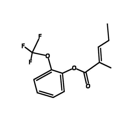 CCC=C(C)C(=O)Oc1ccccc1OC(F)(F)F